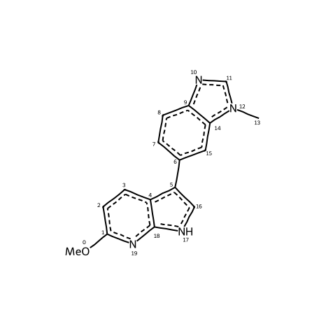 COc1ccc2c(-c3ccc4ncn(C)c4c3)c[nH]c2n1